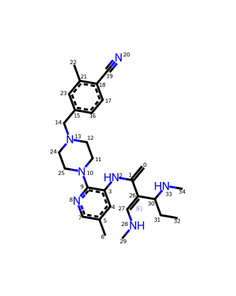 C=C(Nc1cc(C)cnc1N1CCN(Cc2ccc(C#N)c(C)c2)CC1)/C(=C/NC)C(CC)NC